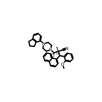 COc1ccccc1C(c1cccc2ccccc12)[C@@](C)(C#N)C(=O)N1CCN(c2cccc3c2CCC3)CC1